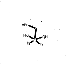 CCCCCP(O)(O)(CC)CC